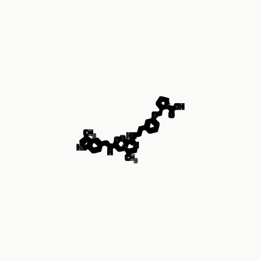 Cc1c[nH]c2ccc(CNC(=O)Cn3c(C)cnc(NCCc4cccc(OC[C@H]5CCCN5C(=O)O)c4)c3=O)cc12